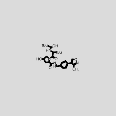 Cc1nocc1-c1ccc(CNC(=O)C2CC(O)CN2C(=O)C(NC(O)C(C)(C)C)C(C)(C)C)cc1